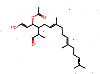 CC(=O)OC(/C=C/O)C(C/C=C(\C)CC/C=C(\C)CCC=C(C)C)C(C)C=O